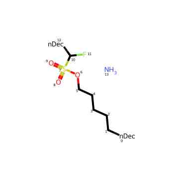 CCCCCCCCCCCCCCCOS(=O)(=O)C(F)CCCCCCCCCC.N